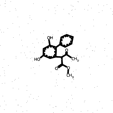 COC(=O)C(C(C)=O)c1cc(O)cc(O)c1-c1ccccc1